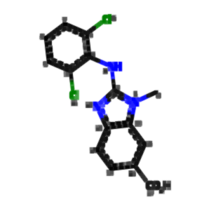 Cn1c(Nc2c(Cl)cccc2Cl)nc2ccc(C(=O)O)cc21